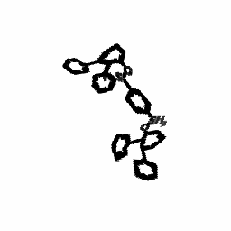 c1ccc(-c2cccc(O[SiH2]c3ccc([SiH2]Oc4cccc(-c5ccccc5)c4-c4ccccc4)cc3)c2-c2ccccc2)cc1